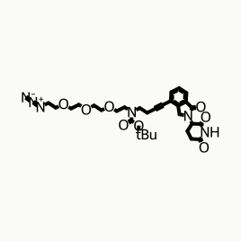 CC(C)(C)OC(=O)N(CCC#Cc1cccc2c1CN(C1CCC(=O)NC1=O)C2=O)CCOCCOCCOCCN=[N+]=[N-]